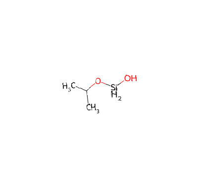 CC(C)O[SiH2]O